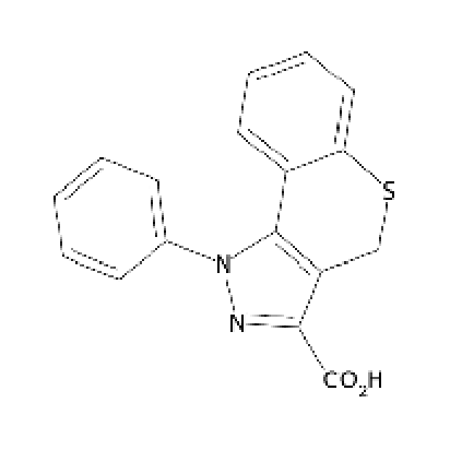 O=C(O)c1nn(-c2ccccc2)c2c1CSc1ccccc1-2